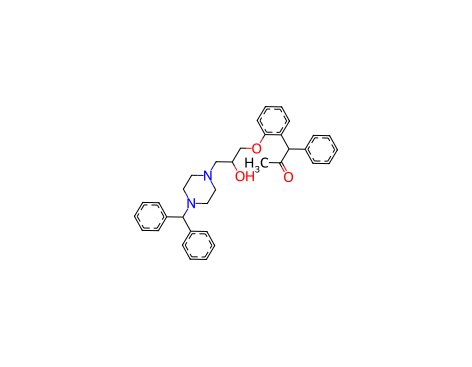 CC(=O)C(c1ccccc1)c1ccccc1OCC(O)CN1CCN(C(c2ccccc2)c2ccccc2)CC1